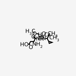 COC[C@H](NC(=O)[C@@H](N)CC(=O)O)C(=O)NC(C1CC1)C(C)(C)C